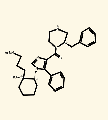 CC(=O)NCCC[C@]1(O)CCCC[C@H]1n1cnc(C(=O)N2CCNC[C@H]2Cc2ccccc2)c1-c1ccccc1